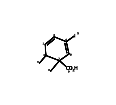 CC1C=CC(I)=CC1(C)C(=O)O